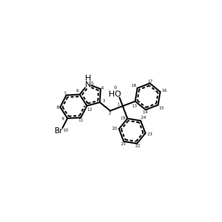 OC(Cc1c[nH]c2ccc(Br)cc12)(c1ccccc1)c1ccccc1